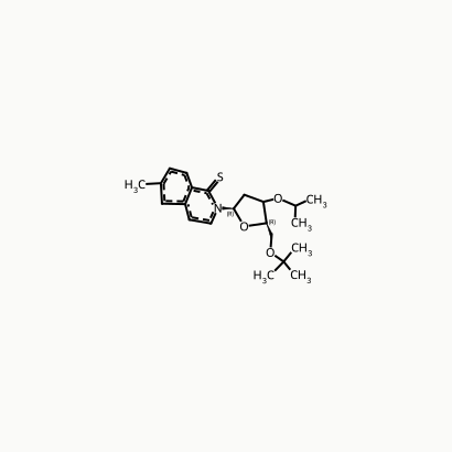 Cc1ccc2c(=S)n([C@H]3CC(OC(C)C)[C@@H](COC(C)(C)C)O3)ccc2c1